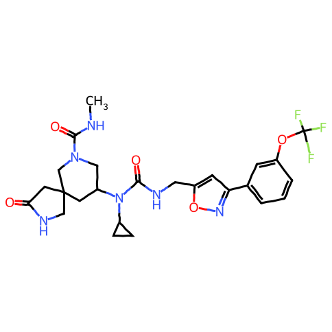 CNC(=O)N1CC(N(C(=O)NCc2cc(-c3cccc(OC(F)(F)F)c3)no2)C2CC2)CC2(CNC(=O)C2)C1